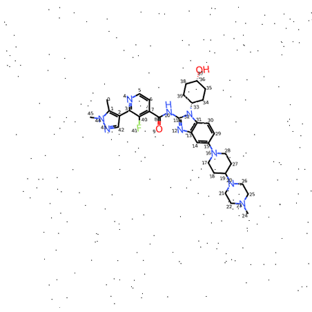 Cc1c(-c2nccc(C(=O)Nc3nc4cc(N5CCC(N6CCN(C)CC6)CC5)ccc4n3[C@H]3CC[C@@H](O)CC3)c2F)cnn1C